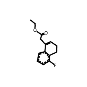 CCOC(=O)CC1=CCCc2c(F)cccc21